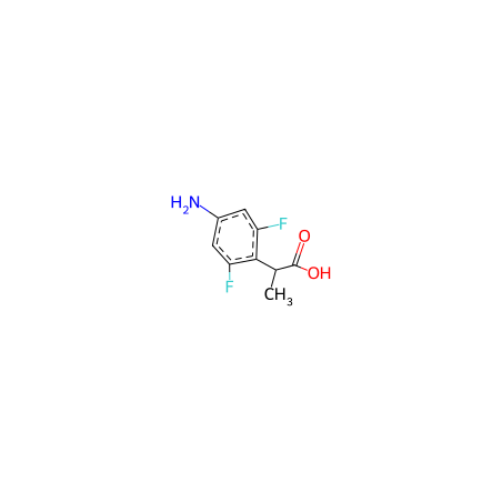 CC(C(=O)O)c1c(F)cc(N)cc1F